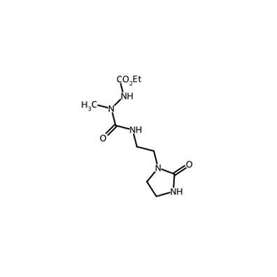 CCOC(=O)NN(C)C(=O)NCCN1CCNC1=O